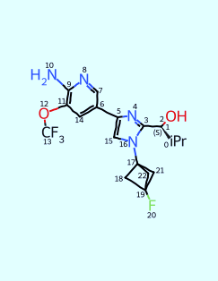 CC(C)[C@H](O)c1nc(-c2cnc(N)c(OC(F)(F)F)c2)cn1C12CC(F)(C1)C2